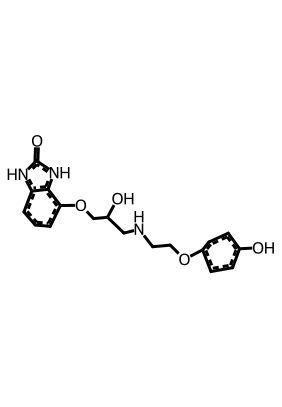 O=c1[nH]c2cccc(OCC(O)CNCCOc3ccc(O)cc3)c2[nH]1